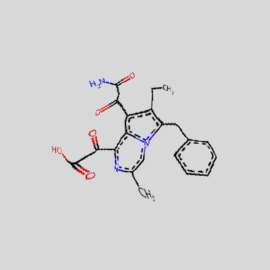 CCc1c(C(=O)C(N)=O)c2c(C(=O)C(=O)O)nc(C)cn2c1Cc1ccccc1